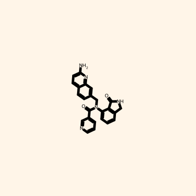 Nc1ccc2ccc(CN(C(=O)c3cccnc3)c3cccc4c3C(=O)NC4)cc2n1